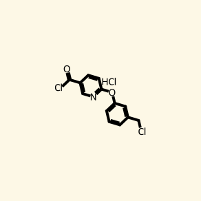 Cl.O=C(Cl)c1ccc(Oc2cccc(CCl)c2)nc1